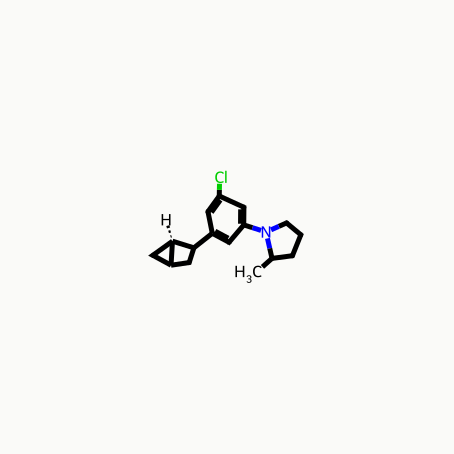 CC1CCCN1c1cc(Cl)cc(C2CC3C[C@H]32)c1